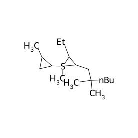 CCCCC(C)(C)CC1C(CC)S1(C)C1CC1C